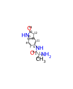 CC(N)C(=O)Nc1ccc2c(c1)CC(=O)N2